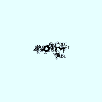 CCCCCN([C@@H](CCC(F)(F)CC)CO[Si](C)(C)C(C)(C)C)S(=O)(=O)c1ccc(CO[Si](C)(C)C(C)(C)C)cc1